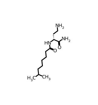 CC(C)CCCCCC(=O)N[C@H](CCN)C(N)=O